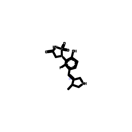 CC1CNC/C1=C\c1ccc(O)c(N2CC(=O)NS2(=O)=O)c1F